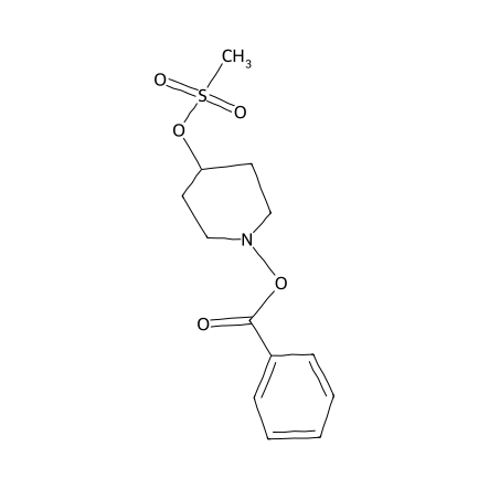 CS(=O)(=O)OC1CCN(OC(=O)c2ccccc2)CC1